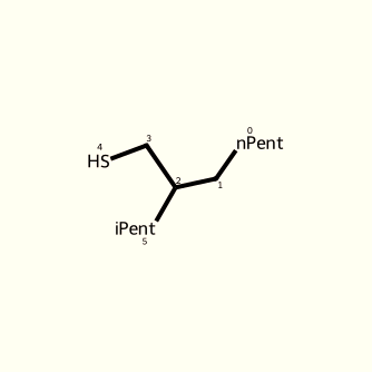 CCCCCCC(CS)C(C)CCC